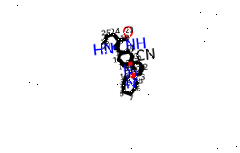 N#Cc1ccc(N2C3CCC2CN(Cc2ccc4c5c(c(=O)[nH]c4c2)CCCN5)C3)nc1